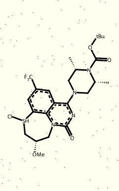 CO[C@H]1Cn2c(=O)nc(N3C[C@@H](C)N(C(=O)OC(C)(C)C)[C@@H](C)C3)c3cc(C(F)(F)F)cc(c32)[SH](Cl)C1